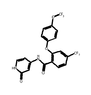 O=C(Nc1cc[nH]c(=O)c1)c1ccc(C(F)(F)F)cc1Oc1ccc(OC(F)(F)F)cc1